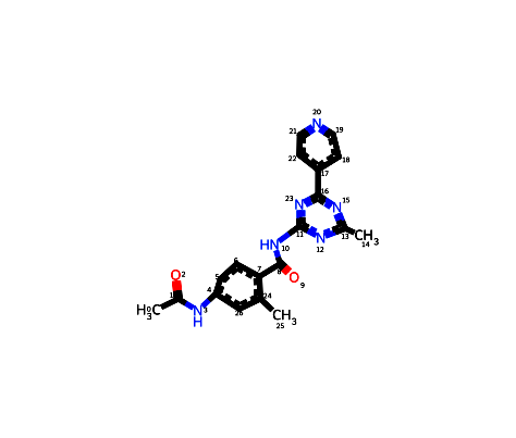 CC(=O)Nc1ccc(C(=O)Nc2nc(C)nc(-c3ccncc3)n2)c(C)c1